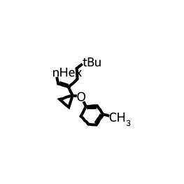 CCCCCCC=C(CCC(C)(C)C)C1(OC2=CC(C)=CCC2)CC1